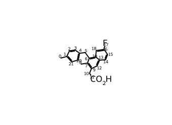 Cc1ccc(Cc2c(C)c(CC(=O)O)cc3ccc(F)cc23)cc1